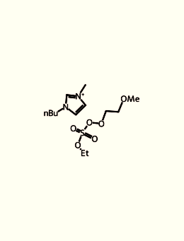 CCCCn1cc[n+](C)c1.CCOS(=O)(=O)OOCCOC